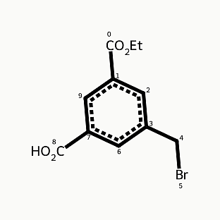 CCOC(=O)c1cc(CBr)cc(C(=O)O)c1